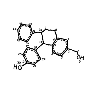 OCc1ccc2c(c1)CCC(c1ccccc1)C2c1ccc(O)cc1